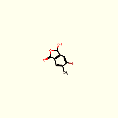 Cc1cc2c(cc1Br)C(O)OC2=O